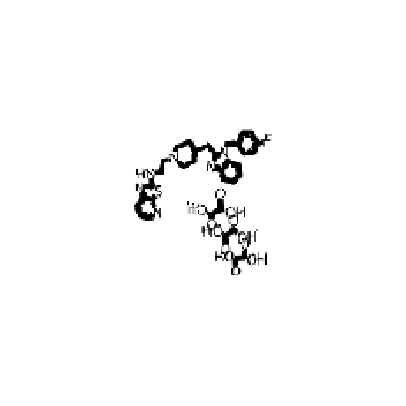 Fc1ccc(Cn2c(CC3CCN(CCNc4nc5cccnc5s4)CC3)nc3ccccc32)cc1.O=C(O)C(=O)O.O=C(O)C(=O)O.O=C(O)C(=O)O